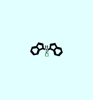 [Cl][TiH]([CH]1C=Cc2ccccc21)[CH]1C=Cc2ccccc21